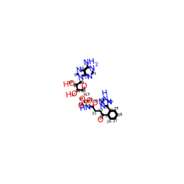 Nc1ncnc2c1ncn2[C@@H]1O[C@H](COS(=O)(=O)NC(=O)CCC(=O)c2ccccc2-c2nn[nH]n2)[C@@H](O)[C@H]1O